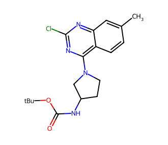 Cc1ccc2c(N3CCC(NC(=O)OC(C)(C)C)C3)nc(Cl)nc2c1